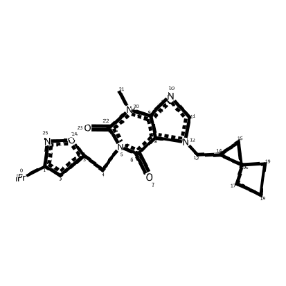 CC(C)c1cc(Cn2c(=O)c3c(ncn3CC3CC34CCC4)n(C)c2=O)on1